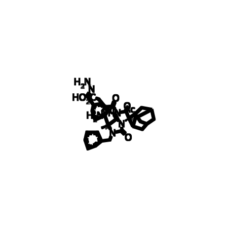 CC(=O)C12CC3CC(CC(C3)[C@]1(C(=O)NC(=O)[C@@H](N)CC(=O)O)N1C(=O)N(Cc3ccccc3)[C@](C)(c3ccc(C=NN)cc3)C1=O)C2